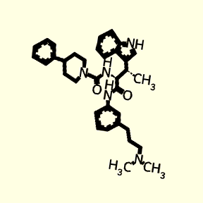 C[C@@H](c1c[nH]c2ccccc12)[C@@H](NC(=O)N1CCC(c2ccccc2)CC1)C(=O)Nc1cccc(CCCN(C)C)c1